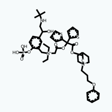 CC[N+](CC)(CC(=O)OC(C(=O)OC1C[N+]2(CCCOc3ccccc3)CCC1CC2)(c1cccs1)c1cccs1)Cc1cc(C(O)CNC(C)(C)C)ccc1OP(=O)(O)O